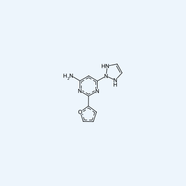 Nc1cc(N2NC=CN2)nc(-c2ccco2)n1